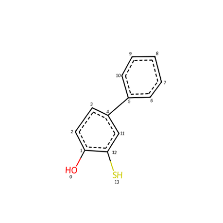 Oc1ccc(-c2ccccc2)cc1S